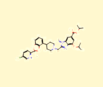 CC(C)OC(=O)c1cc(OC(C)C)c2nc(CN3CCC(c4cccc5c4O[C@@](C)(c4ccc(Cl)cn4)O5)CC3)n(C)c2c1